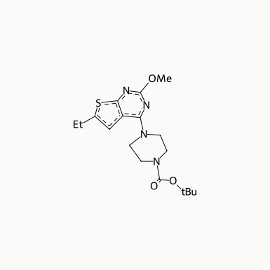 CCc1cc2c(N3CCN(C(=O)OC(C)(C)C)CC3)nc(OC)nc2s1